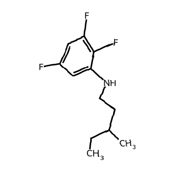 CCC(C)CCNc1cc(F)cc(F)c1F